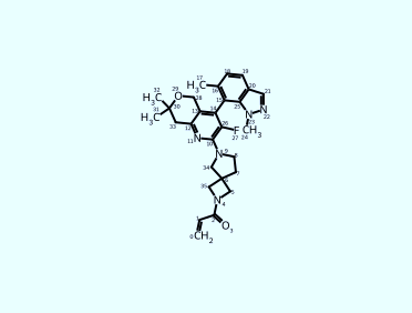 C=CC(=O)N1CC2(CCN(c3nc4c(c(-c5c(C)ccc6cnn(C)c56)c3F)COC(C)(C)C4)C2)C1